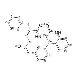 CC(=O)SC[C@@H](Cc1ccccc1)C(=O)N[C@H](C(=O)O)C(c1ccccc1)c1ccccc1